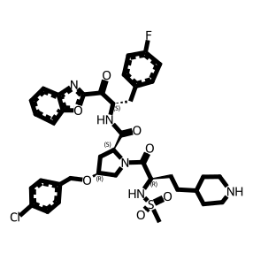 CS(=O)(=O)N[C@H](CCC1CCNCC1)C(=O)N1C[C@H](OCc2ccc(Cl)cc2)C[C@H]1C(=O)N[C@@H](Cc1ccc(F)cc1)C(=O)c1nc2ccccc2o1